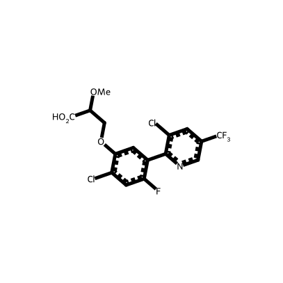 COC(COc1cc(-c2ncc(C(F)(F)F)cc2Cl)c(F)cc1Cl)C(=O)O